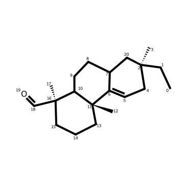 CC[C@@]1(C)CC=C2C(CCC3[C@@]2(C)CCC[C@@]3(C)C=O)C1